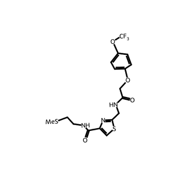 CSCCNC(=O)c1csc(CNC(=O)COc2ccc(OC(F)(F)F)cc2)n1